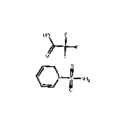 NS(=O)(=O)N1C=CC=CC1.O=C(O)C(F)(F)F